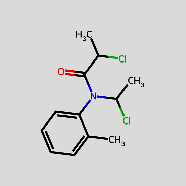 Cc1ccccc1N(C(=O)C(C)Cl)C(C)Cl